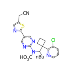 CCCCC(N(C(=O)O)c1ncc(-c2ncc(CC#N)s2)cn1)C1(c2ncccc2Cl)CCC1